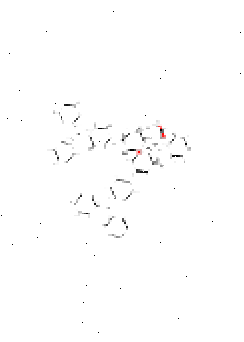 c1ccc(N(c2ccccc2)c2ccc(-c3ccc4c(c3)Oc3ccccc3C43c4ccccc4Oc4cc(-c5ccc(N(c6ccccc6)c6ccccc6)cc5)ccc43)cc2)cc1